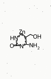 Nc1nc(=O)[nH]cc1CO.[Zn]